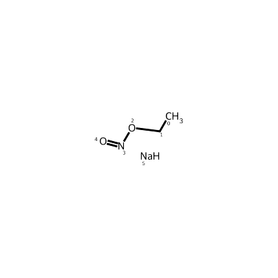 CCON=O.[NaH]